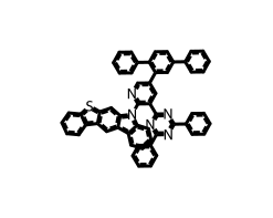 c1ccc(-c2ccc(-c3ccccc3)c(-c3cnc(-n4c5ccccc5c5cc6c(cc54)sc4ccccc46)c(-c4nc(-c5ccccc5)nc(-c5ccccc5)n4)c3)c2)cc1